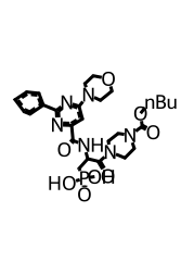 CCCCOC(=O)N1CCN(C(=O)C(CP(=O)(O)O)NC(=O)c2cc(N3CCOCC3)nc(-c3ccccc3)n2)CC1